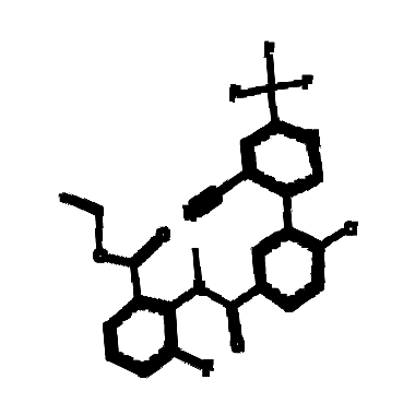 CCOC(=O)c1cccc(F)c1N(C)C(=O)c1ccc(Cl)c(-c2cnc(C(F)(F)F)cc2C#N)c1